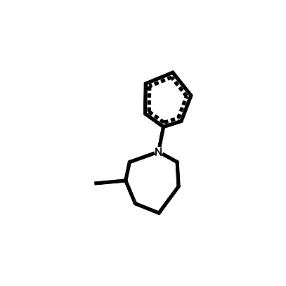 CC1CCCCN(c2ccccc2)C1